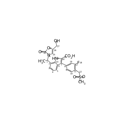 CC(c1cccc2c(-c3ccc(CS(C)(=O)=O)c(F)c3)c(C(=O)O)[nH]c12)n1cc(CO)oc1=O